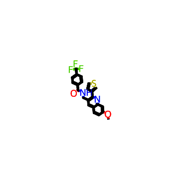 COc1ccc2cc(CNC(=O)c3ccc(C(F)(F)F)cc3)c(-c3ccsc3)nc2c1